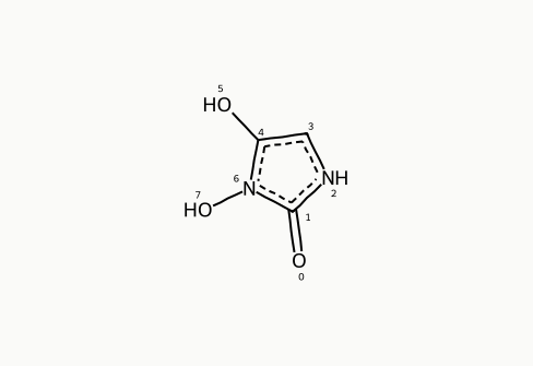 O=c1[nH]cc(O)n1O